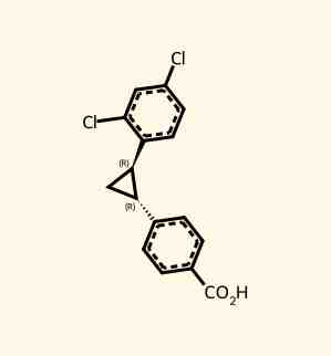 O=C(O)c1ccc([C@@H]2C[C@H]2c2ccc(Cl)cc2Cl)cc1